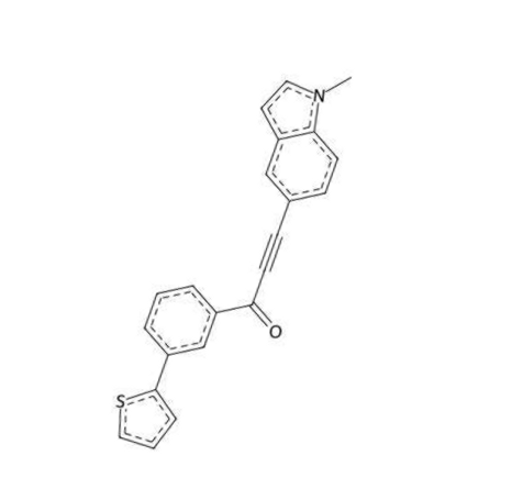 Cn1ccc2cc(C#CC(=O)c3cccc(-c4cccs4)c3)ccc21